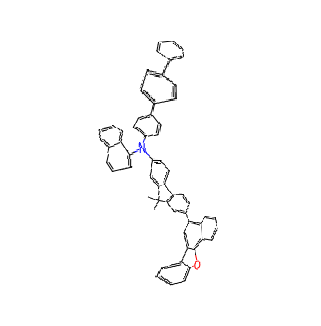 CC1(C)c2cc(-c3cc4c5ccccc5oc4c4ccccc34)ccc2-c2ccc(N(c3ccc(-c4ccc(-c5ccccc5)cc4)cc3)c3cccc4ccccc34)cc21